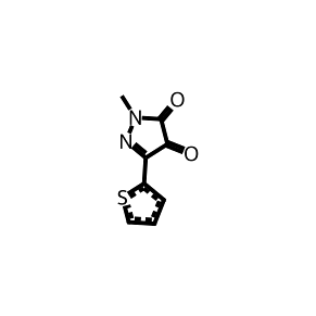 CN1N=C(c2cccs2)C(=O)C1=O